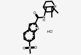 CC1(C)C(NC(=O)c2cc3ccc(S(C)(=O)=O)cc3s2)C2CCN1CC2.Cl